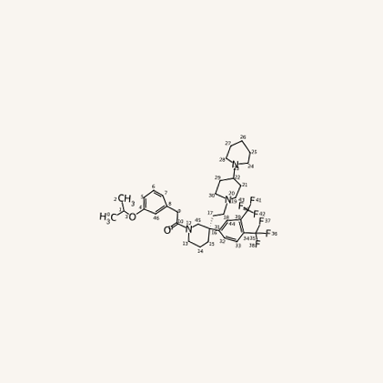 CC(C)Oc1cccc(CC(=O)N2CCC[C@](CCN3CCC(N4CCCCC4)CC3)(c3ccc(C(F)(F)F)c(C(F)(F)F)c3)C2)c1